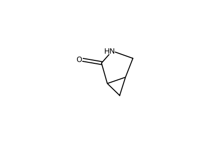 O=C1NCC2CC12